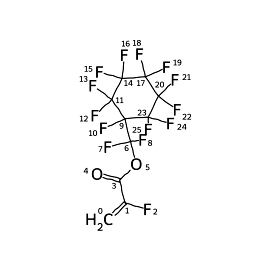 C=C(F)C(=O)OC(F)(F)C1(F)C(F)(F)C(F)(F)C(F)(F)C(F)(F)C1(F)F